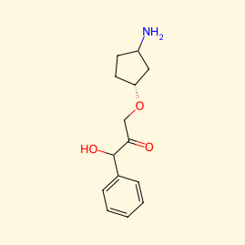 NC1CC[C@@H](OCC(=O)C(O)c2ccccc2)C1